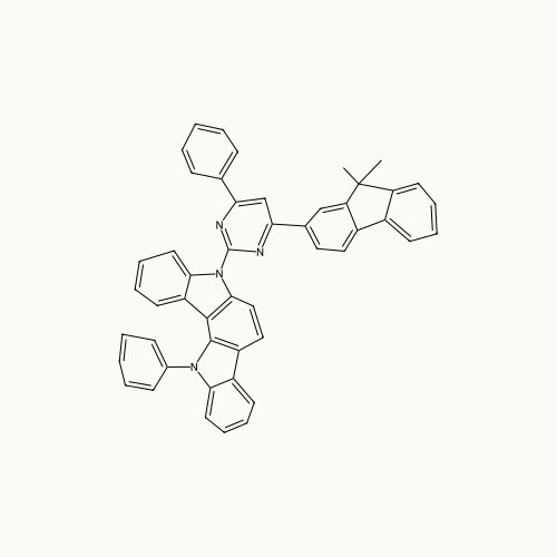 CC1(C)c2ccccc2-c2ccc(-c3cc(-c4ccccc4)nc(-n4c5ccccc5c5c4ccc4c6ccccc6n(-c6ccccc6)c45)n3)cc21